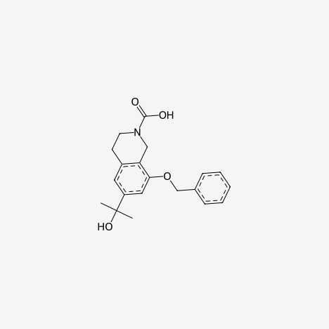 CC(C)(O)c1cc2c(c(OCc3ccccc3)c1)CN(C(=O)O)CC2